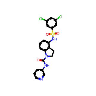 O=C(Nc1cccnc1)N1CCc2c(NS(=O)(=O)c3cc(Cl)cc(Cl)c3)cccc21